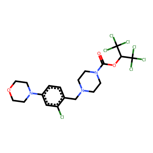 O=C(OC(C(Cl)(Cl)Cl)C(Cl)(Cl)Cl)N1CCN(Cc2ccc(N3CCOCC3)cc2Cl)CC1